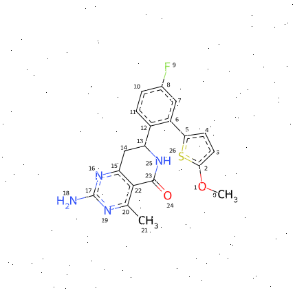 COc1ccc(-c2cc(F)ccc2C2Cc3nc(N)nc(C)c3C(=O)N2)s1